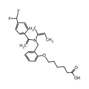 C=C(c1ccc(C(F)F)cc1)N(Cc1ccccc1OCCCCCC(=O)O)/C(C)=C\C